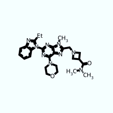 CCc1nc2ccccc2n1-c1nc(N2CCOCC2)c2nc(CN3CC(C(=O)N(C)C)C3)n(C)c2n1